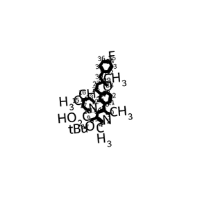 Cc1nc(C)c(C(OC(C)(C)C)C(=O)O)c(N2CCC(C)(C)CC2)c1-c1ccc2c(c1)CC[C@@](C)(Cc1ccc(F)cc1)O2